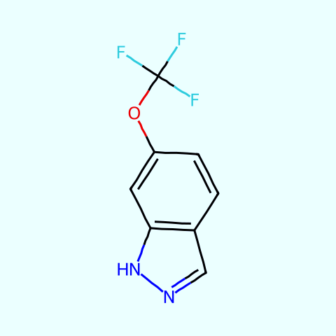 FC(F)(F)Oc1ccc2cn[nH]c2c1